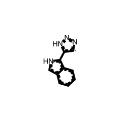 [c]1nn[nH]c1-c1[nH]cc2ccccc12